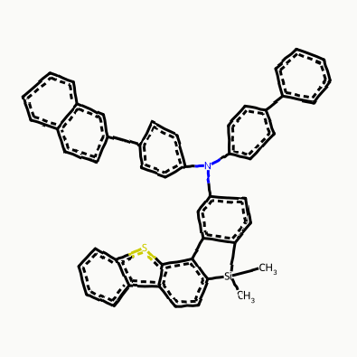 C[Si]1(C)c2ccc(N(c3ccc(-c4ccccc4)cc3)c3ccc(-c4ccc5ccccc5c4)cc3)cc2-c2c1ccc1c2sc2ccccc21